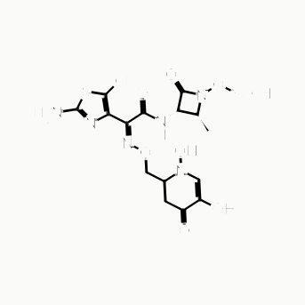 C[C@H]1[C@H](NC(=O)/C(=N\OCC2CC(=O)C(O)=CN2O)c2nc(N)sc2Cl)C(=O)N1OS(=O)(=O)O